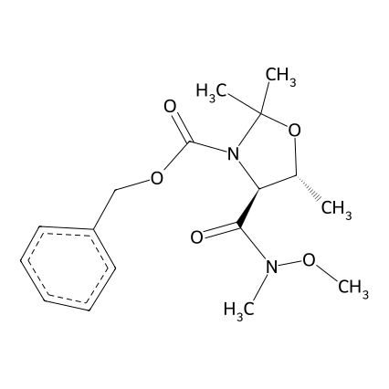 CON(C)C(=O)[C@@H]1[C@@H](C)OC(C)(C)N1C(=O)OCc1ccccc1